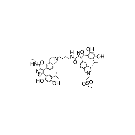 CCNC(=O)c1noc(-c2cc(C(C)C)c(O)cc2O)c1-c1ccc2c(c1)CCN(CCCCNC(=O)c1noc(-c3cc(C(C)C)c(O)cc3O)c1-c1ccc3c(c1)CCN(CCS(=O)(=O)CC)C3)C2